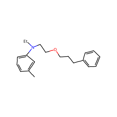 CCN(CCOCCCc1ccccc1)c1cccc(C)c1